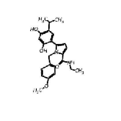 CCNC(=O)c1ccc(-c2cc(C(C)C)c(O)cc2O)n1Cc1ccc(OC)cc1